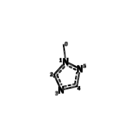 Cn1[c]ncn1